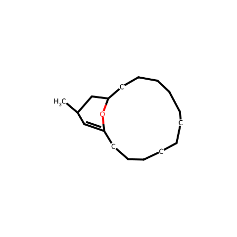 CC1C=C2CCCCCCCCCCCC(C1)O2